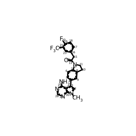 Cn1cc(-c2ccc3c(c2)CCN3C(=O)Cc2ccc(F)c(C(F)(F)F)c2)c2c(N)ncnc21